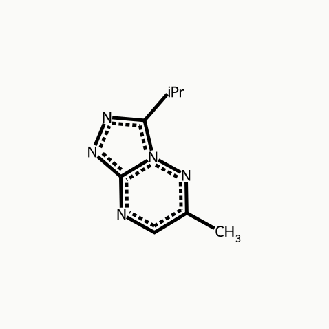 Cc1cnc2nnc(C(C)C)n2n1